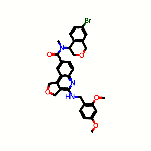 COc1ccc(CNc2nc3ccc(C(=O)N(C)C4COCc5cc(Br)ccc54)cc3c3c2COC3)c(OC)c1